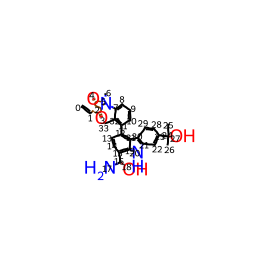 C=CS(=O)(=O)N(C)c1cccc(-c2ccc(C(N)O)c3[nH]c4cc(C(C)(C)O)ccc4c23)c1C